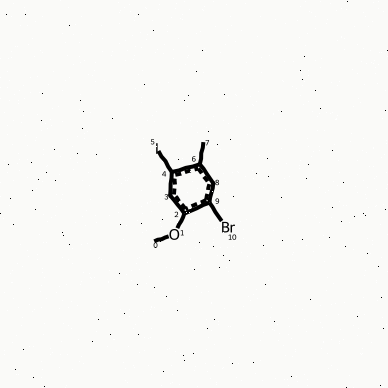 COc1cc(I)c(C)cc1Br